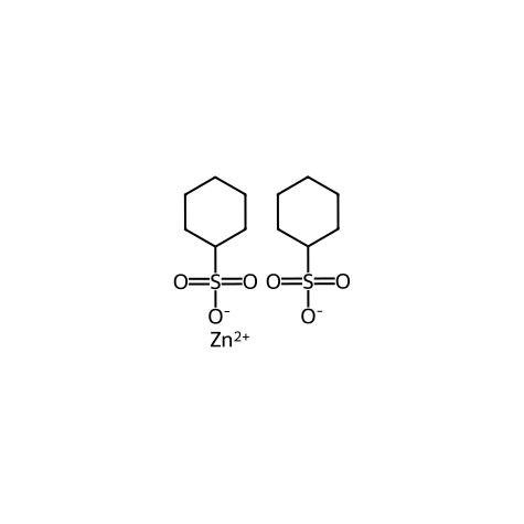 O=S(=O)([O-])C1CCCCC1.O=S(=O)([O-])C1CCCCC1.[Zn+2]